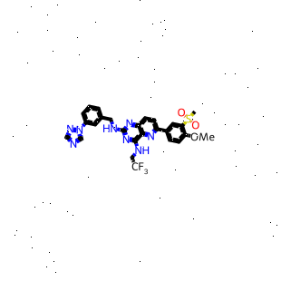 COc1ccc(-c2ccc3nc(NCc4cccc(-n5cncn5)c4)nc(NCC(F)(F)F)c3n2)cc1S(C)(=O)=O